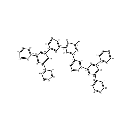 Cc1nc(-c2cccc(-c3cc(-c4ccccc4)cc(-c4ccccc4)c3)c2)nc(-c2cccc(-c3cc(-c4ccccc4)cc(-c4ccccc4)c3)c2)n1